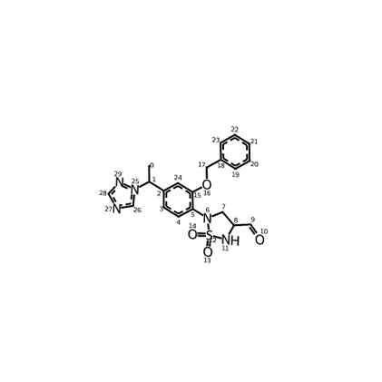 CC(c1ccc(N2CC(C=O)NS2(=O)=O)c(OCc2ccccc2)c1)n1cncn1